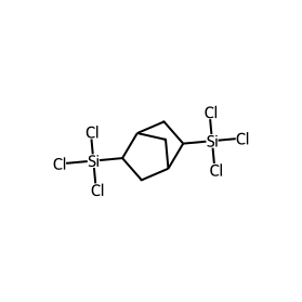 Cl[Si](Cl)(Cl)C1CC2CC1CC2[Si](Cl)(Cl)Cl